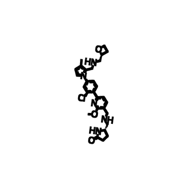 COc1nc(-c2ccc(-n3ccc(C)c3CNC[C@@H]3CCO3)cc2Cl)ccc1CNC[C@@H]1CCC(=O)N1